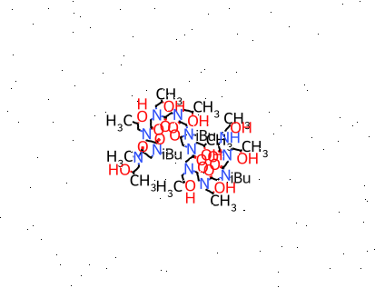 CCC(C)N(CC(=O)N(C)CC(C)O)C(=O)CN(CC(C)O)C(=O)CN(CC(C)O)C(=O)CN(CC(C)O)C(=O)CN(C(=O)CN(CC(C)O)C(=O)CN(CC(C)O)C(=O)CN(CC(C)O)C(=O)CN(C(=O)CN(CC(C)O)C(=O)CNCC(C)O)C(C)CC)C(C)CC